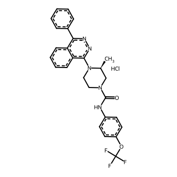 C[C@H]1CN(C(=O)Nc2ccc(OC(F)(F)F)cc2)CCN1c1nnc(-c2ccccc2)c2ccccc12.Cl